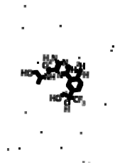 [2H]C([2H])([2H])c1ccc(C(O)(CO)C(F)(F)F)cc1-c1cnc(N)c(C(=O)NC(C)CO)n1